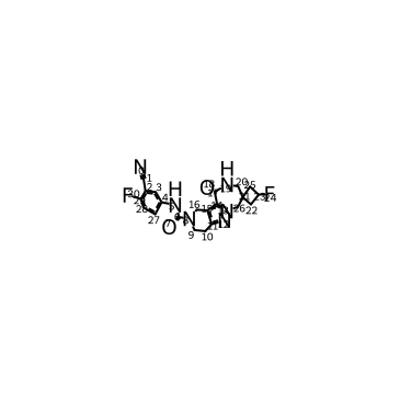 N#Cc1cc(NC(=O)N2CCc3nn4c(c3C2)C(=O)NCC2(CC(F)C2)C4)ccc1F